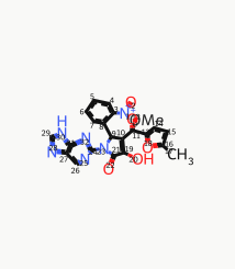 CO[N+](=O)c1ccccc1C1C(C(=O)c2ccc(C)o2)=C(O)C(=O)N1c1ncc2nc[nH]c2n1